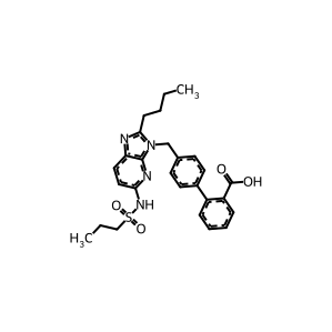 CCCCc1nc2ccc(NS(=O)(=O)CCC)nc2n1Cc1ccc(-c2ccccc2C(=O)O)cc1